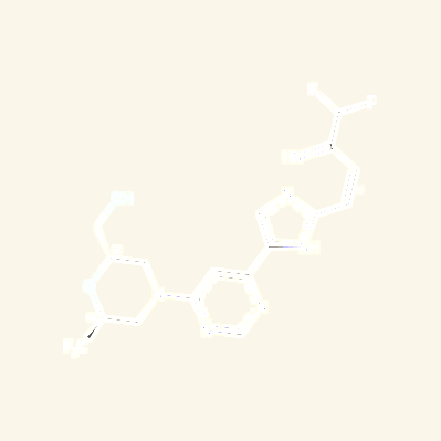 N=C(/C=C\c1ncc(-c2cc(N3C[C@@H](CO)O[C@H](C(F)(F)F)C3)ncn2)[nH]1)C(F)F